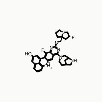 Cc1cccc2cc(O)cc(-c3c(Cl)cc4c(N5CCC6CNC(C6)C5)nc(OC[C@@]56CCCN5C[C@H](F)C6)nc4c3F)c12